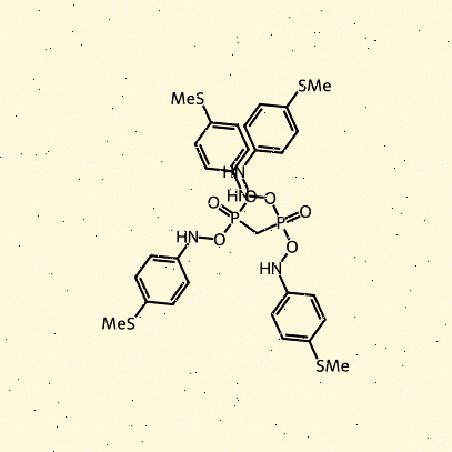 CSc1ccc(NOP(=O)(CP(=O)(ONc2ccc(SC)cc2)ONc2ccc(SC)cc2)ONc2ccc(SC)cc2)cc1